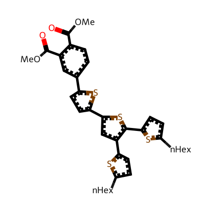 CCCCCCc1ccc(-c2cc(-c3ccc(-c4ccc(C(=O)OC)c(C(=O)OC)c4)s3)sc2-c2ccc(CCCCCC)s2)s1